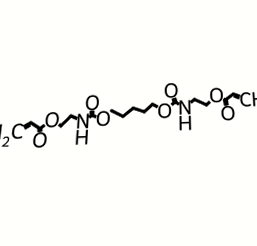 C=CC(=O)OCCNC(=O)OCCCCCOC(=O)NCCOC(=O)C=C